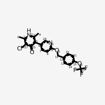 Cc1[nH]c(C)c(-c2ccc(OCc3ccc(OC(F)(F)F)cc3)nc2)c(=O)c1Cl